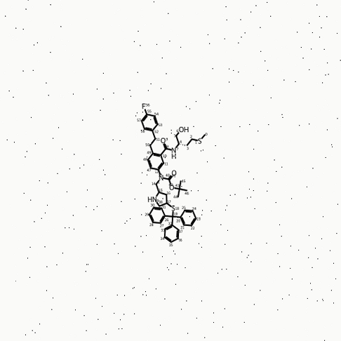 CSCC[C@@H](CO)NC(=O)c1cc(N(CC2CC(SC(c3ccccc3)(c3ccccc3)c3ccccc3)CN2)C(=O)OC(C)(C)C)ccc1CCc1ccc(F)cc1